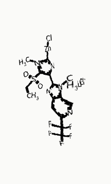 CCS(=O)(=O)c1c(-c2nc3cc(C(F)(F)C(F)(F)F)ncc3n2C)n[c]([Zn][Cl])n1C.[Cl-].[Li+]